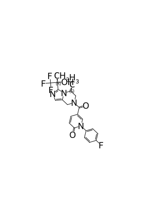 C[C@H]1CN(C(=O)c2ccc(=O)n(-c3ccc(F)cc3)c2)Cc2cnc([C@@](C)(O)C(F)(F)F)n21